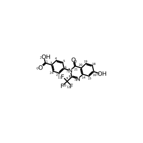 O=C(O)c1ccc(-n2c(C(F)(F)F)nc3cc(O)ccc3c2=O)cc1